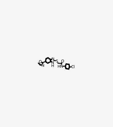 O=C(CSc1nc2ccc(-c3ncco3)cc2[nH]1)Nc1ccc(Cl)cc1